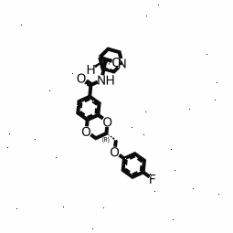 O=C(N[C@H]1CN2CCC1CC2)c1ccc2c(c1)O[C@H](COc1ccc(F)cc1)CO2